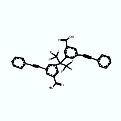 O=C(O)c1cc(C#Cc2ccccc2)cc(C(c2cc(C#Cc3ccccc3)cc(C(=O)O)c2)(C(F)(F)F)C(F)(F)F)c1